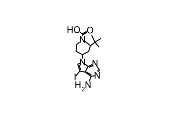 CC(C)(C)C1CC(n2cc(I)c3c(N)ncnc32)CCN1C(=O)O